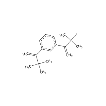 C=C(c1cccc(C(=C)C(C)(C)I)c1)C(C)(C)C